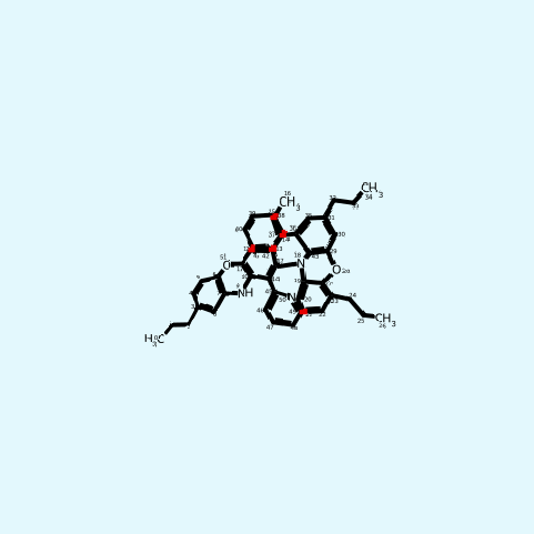 CCCc1ccc2c(c1)Nc1c(cc(CCC)c(N3c4cccc(CCC)c4Oc4cc(CCC)cc(-c5ccccn5)c43)c1-c1ccccn1)O2